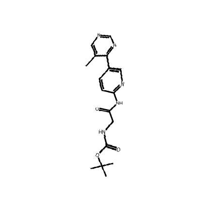 Cc1cncnc1-c1ccc(NC(=O)CNC(=O)OC(C)(C)C)nc1